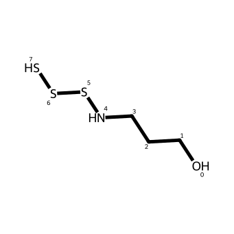 OCCCNSSS